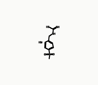 Br.CS(=O)(=O)c1ccc(CNC(=N)S)cc1